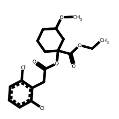 CCOC(=O)C1(OC(=O)Cc2c(Cl)cccc2Cl)CCCC(OC)C1